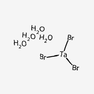 O.O.O.O.[Br][Ta]([Br])[Br]